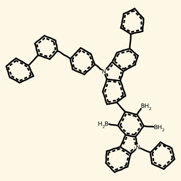 Bc1c(-c2ccc3c(c2)c2ccc(-c4ccccc4)cc2n3-c2ccc(-c3cccc(-c4ccccc4)c3)cc2)c(B)c2c3ccccc3n(-c3ccccc3)c2c1B